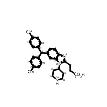 O=C(O)CCc1nc2ccc(C(c3ccc(Cl)cc3)c3ccc(Cl)cc3)cc2n1C1CCNCC1